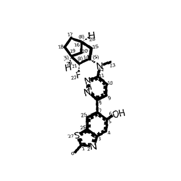 Cc1nc2cc(O)c(-c3ccc(N(C)[C@H]4C[C@@H]5CC[C@@H](C5)[C@H]4F)nn3)cc2s1